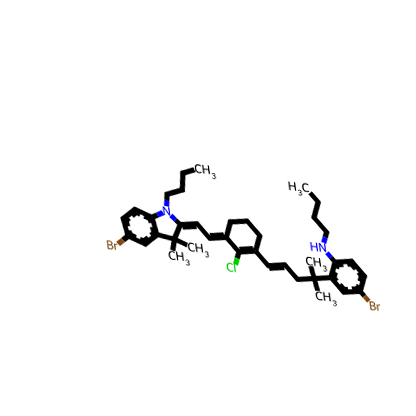 CCCCNc1ccc(Br)cc1C(C)(C)C/C=C/C1=C(Cl)C(=C/C=C2/N(CCCC)c3ccc(Br)cc3C2(C)C)/CCC1